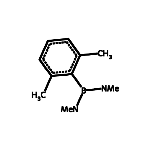 CNB(NC)c1c(C)cccc1C